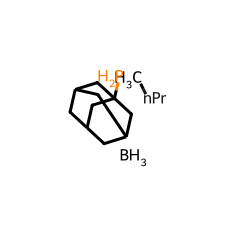 B.CCCC.PC12CC3CC(CC(C3)C1)C2